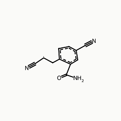 N#C[CH]Cc1ccc(C#N)cc1C(N)=O